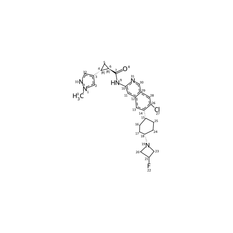 Cn1cc([C@@H]2C[C@H]2C(=O)Nc2cc3cc([C@H]4CC[C@@H](N5CC(F)C5)CC4)c(Cl)cc3cn2)cn1